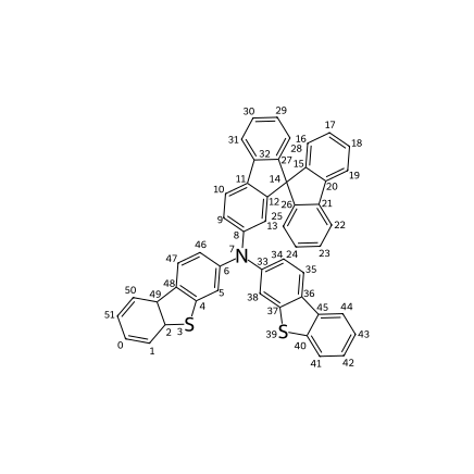 C1=CC2Sc3cc(N(c4ccc5c(c4)C4(c6ccccc6-c6ccccc64)c4ccccc4-5)c4ccc5c(c4)sc4ccccc45)ccc3C2C=C1